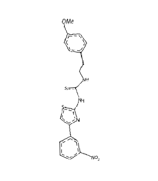 COc1ccc(CCNC(=S)Nc2nc(-c3cccc([N+](=O)[O-])c3)cs2)cc1